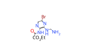 CCOC(=O)C(=O)Nc1ncc(Br)nc1NCN